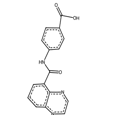 O=C(O)c1ccc(NC(=O)c2cccc3nccnc23)cc1